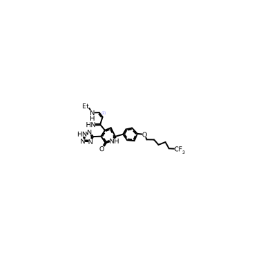 CCN/C=C\C(=N)c1cc(-c2ccc(OCCCCCC(F)(F)F)cc2)[nH]c(=O)c1-c1nn[nH]n1